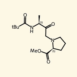 COC(=O)[C@@H]1CCCN1CC(=O)[C@H](C)NC(=O)C(C)(C)C